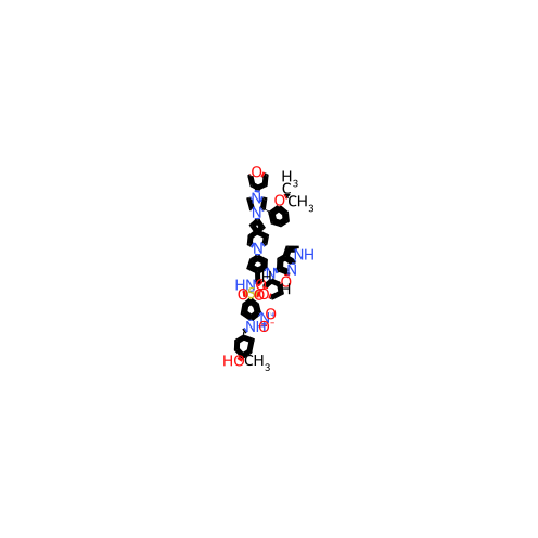 CC(C)Oc1ccccc1[C@H]1CN(C2CCOCC2)CCN1C1CC2(CCN(c3ccc(C(=O)NS(=O)(=O)c4ccc(NC[C@H]5CC[C@](C)(O)CC5)c([N+](=O)[O-])c4)c(N4c5cc6cc[nH]c6nc5O[C@H]5CCOC[C@@H]54)c3)CC2)C1